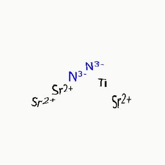 [N-3].[N-3].[Sr+2].[Sr+2].[Sr+2].[Ti]